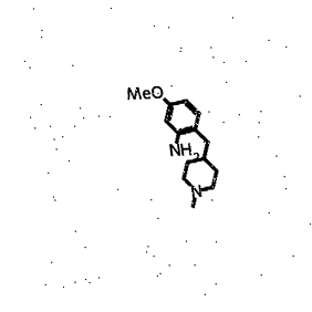 COc1ccc(CC2CCN(C)CC2)c(N)c1